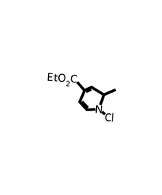 CCOC(=O)C1=CC(C)N(Cl)C=C1